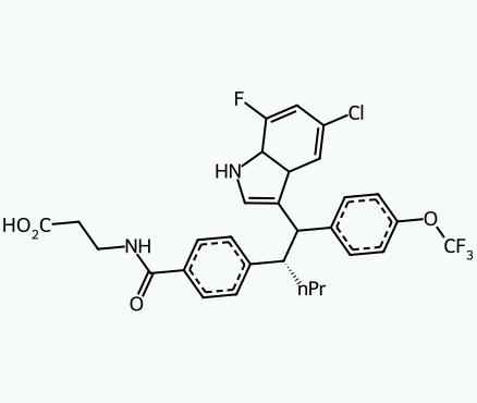 CCC[C@H](c1ccc(C(=O)NCCC(=O)O)cc1)C(C1=CNC2C(F)=CC(Cl)=CC12)c1ccc(OC(F)(F)F)cc1